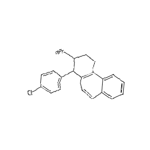 CCCC1CCc2c(ccc3ccccc23)C1c1ccc(Cl)cc1